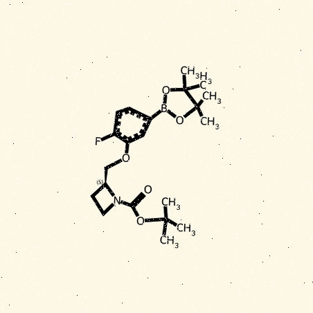 CC(C)(C)OC(=O)N1CC[C@H]1COc1cc(B2OC(C)(C)C(C)(C)O2)ccc1F